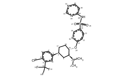 CN(C)[C@H]1C[C@@H](c2ccc(Cl)c(C(F)(F)F)c2)CC[C@@H]1Oc1ccc(S(=O)(=O)Nc2ccncn2)cn1